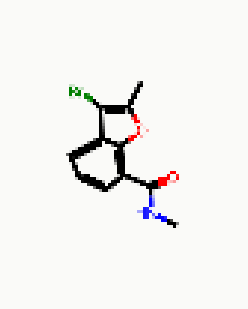 CNC(=O)c1cccc2c(Br)c(C)oc12